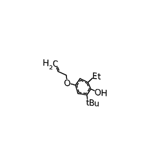 C=CCOc1cc(CC)c(O)c(C(C)(C)C)c1